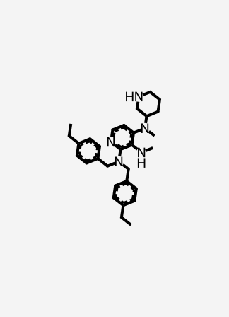 CCc1ccc(CN(Cc2ccc(CC)cc2)c2nccc(N(C)C3CCCNC3)c2NC)cc1